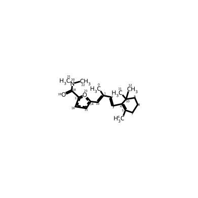 CC(C=CC1=C(C)CCCC1(C)C)=Cc1ccc(C(=O)N(C)C)o1